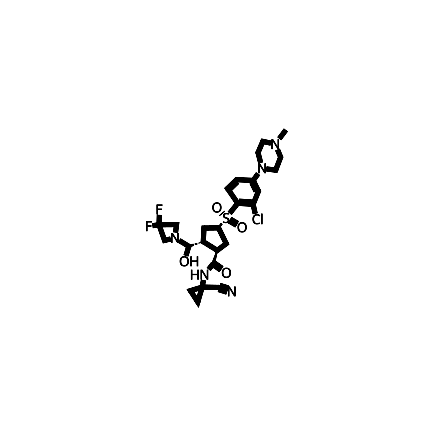 CN1CCN(c2ccc(S(=O)(=O)[C@@H]3C[C@@H](C(=O)NC4(C#N)CC4)[C@H](C(O)N4CC(F)(F)C4)C3)c(Cl)c2)CC1